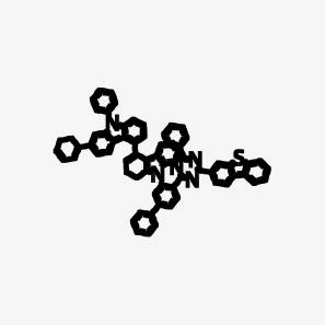 C1=CCCC(c2ccc3c4c(C5=CCCc6c5c5ccccc5n6-c5cc(-c6ccccc6)ccc5-c5nc(-c6ccccc6)nc(-c6ccc7c(c6)sc6ccccc67)n5)cccc4n(-c4ccccc4)c3c2)=C1